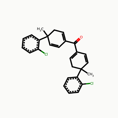 CC1(c2ccccc2Cl)C=CC(C(=O)C2=CCC(C)(c3ccccc3Cl)C=C2)=CC1